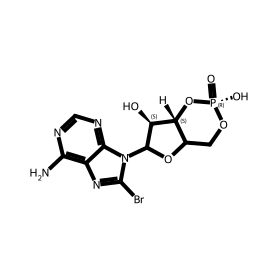 Nc1ncnc2c1nc(Br)n2C1OC2CO[P@@](=O)(O)O[C@H]2[C@@H]1O